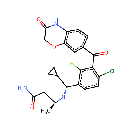 C[C@@H](CC(N)=O)N[C@@H](c1ccc(Cl)c(C(=O)c2ccc3c(c2)OCC(=O)N3)c1F)C1CC1